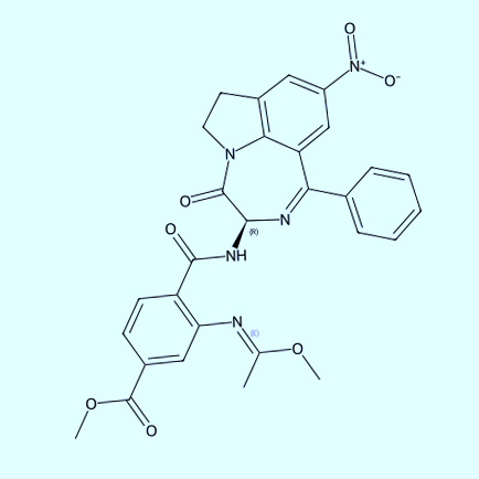 COC(=O)c1ccc(C(=O)N[C@@H]2N=C(c3ccccc3)c3cc([N+](=O)[O-])cc4c3N(CC4)C2=O)c(/N=C(\C)OC)c1